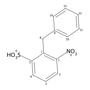 O=[N+]([O-])c1cccc(S(=O)(=O)O)c1Cc1ccccc1